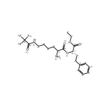 CCOC(=O)[C@H](CCc1ccccc1)OC(=O)C(N)CCCCNC(=O)C(F)(F)F